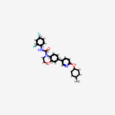 CC(=O)C1CCC(Oc2ccc(-c3ccc4c(c3)OCCN4C(=O)Nc3ccc(F)cc3F)cn2)CC1